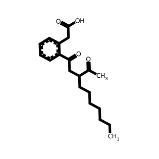 CCCCCCCC(CC(=O)c1ccccc1CC(=O)O)C(C)=O